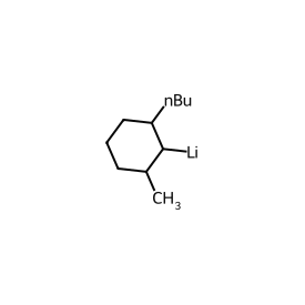 [Li][CH]1C(C)CCCC1CCCC